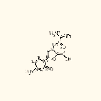 CC(C)C(N)C(=O)OC1CC(n2ccc(N)nc2=O)OC1CO